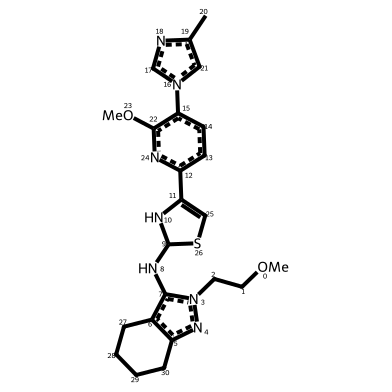 COCCn1nc2c(c1NC1NC(c3ccc(-n4cnc(C)c4)c(OC)n3)=CS1)CCCC2